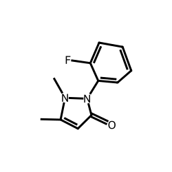 Cc1cc(=O)n(-c2ccccc2F)n1C